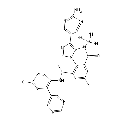 [2H]C([2H])([2H])n1c(=O)c2cc(C)cc(C(C)Nc3ccc(Cl)nc3-c3cncnc3)c2n2cnc(-c3cnc(N)nc3)c12